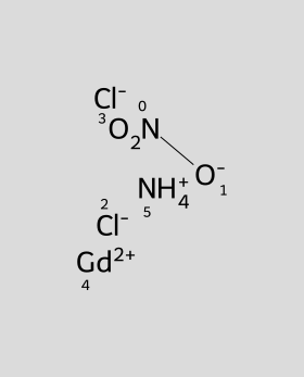 O=[N+]([O-])[O-].[Cl-].[Cl-].[Gd+2].[NH4+]